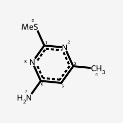 CSc1nc(C)cc(N)n1